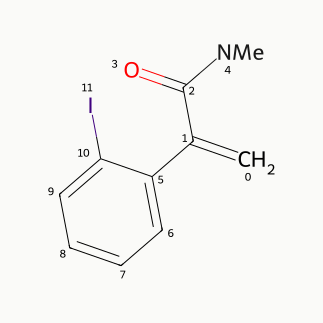 C=C(C(=O)NC)c1ccccc1I